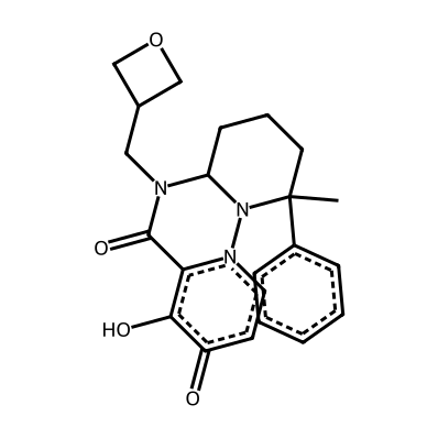 CC1(c2ccccc2)CCCC2N(CC3COC3)C(=O)c3c(O)c(=O)ccn3N21